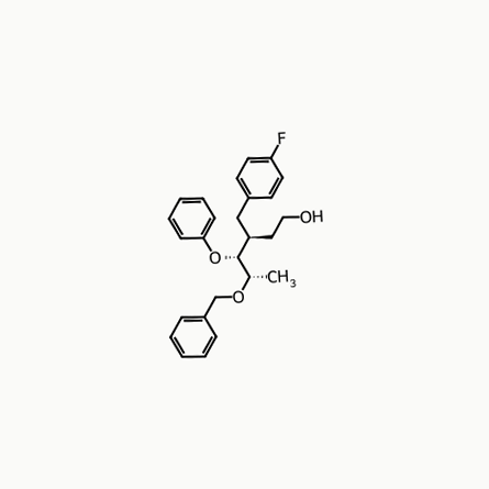 C[C@H](OCc1ccccc1)[C@H](Oc1ccccc1)[C@H](CCO)Cc1ccc(F)cc1